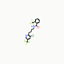 O=C(NCCCCc1ncc(C(F)(F)F)cc1Cl)c1ccccc1C(F)(F)F